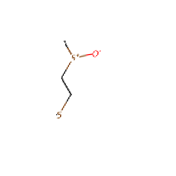 C[S+]([O-])CC[S]